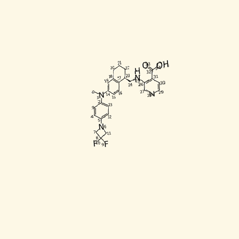 CN(c1ccc(N2CC(F)(F)C2)cc1)c1ccc2c(c1)CCC[C@H]2CNc1cnccc1C(=O)O